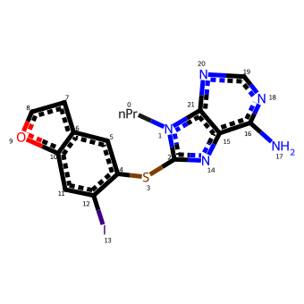 [CH2]CCn1c(Sc2cc3ccoc3cc2I)nc2c(N)ncnc21